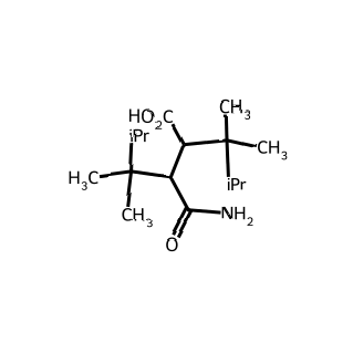 CC(C)C(C)(C)C(C(N)=O)C(C(=O)O)C(C)(C)C(C)C